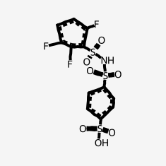 O=S(=O)(O)c1ccc(S(=O)(=O)NS(=O)(=O)c2c(F)ccc(F)c2F)cc1